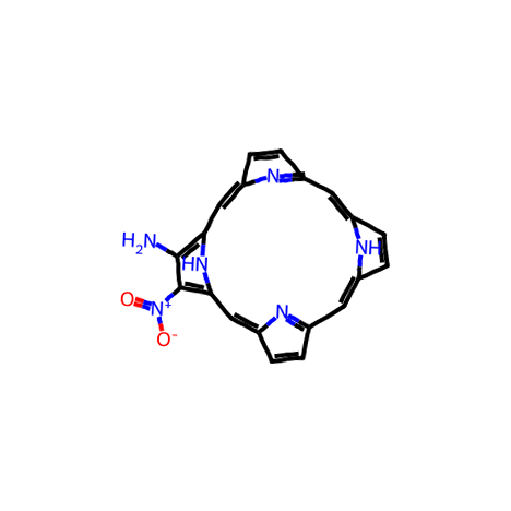 Nc1c([N+](=O)[O-])c2cc3nc(cc4ccc(cc5nc(cc1[nH]2)C=C5)[nH]4)C=C3